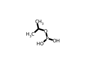 CC(C)OP(O)O